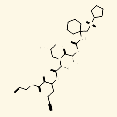 C#CCCC(NC(=O)[C@H](I)N(C[C@@H](C)C(C)C)C(=O)[C@@H](NC(=O)NC1(CS(=O)(=O)C2CCCC2)CCCCC1)C(C)(C)C)C(=O)C(=O)NCC=C